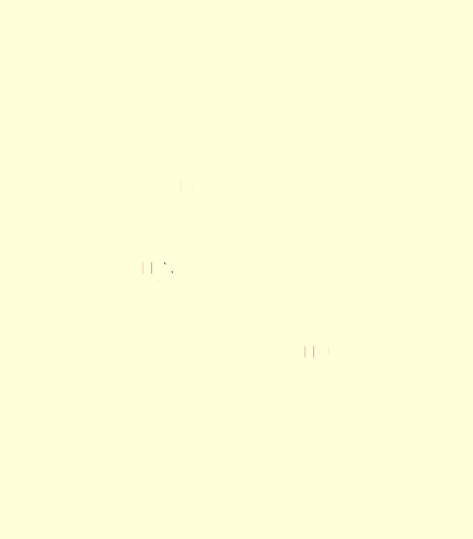 CCc1ccc(CC=O)cc1N